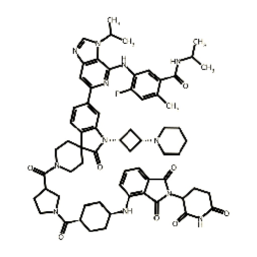 Cc1cc(F)c(Nc2nc(-c3ccc4c(c3)N([C@H]3C[C@@H](N5CCCCC5)C3)C(=O)C43CCN(C(=O)C4CCN(C(=O)[C@H]5CC[C@@H](Nc6cccc7c6C(=O)N(C6CCC(=O)NC6=O)C7=O)CC5)C4)CC3)cc3ncn(C(C)C)c23)cc1C(=O)NC(C)C